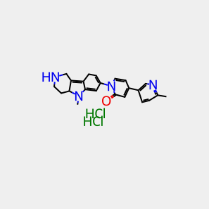 Cc1ccc(-c2ccn(C3=CCC4=C5CNCCC5N(C)C4=C3)c(=O)c2)cn1.Cl.Cl